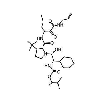 C=CCNC(=O)C(=O)C(CCC)NC(=O)[C@@H]1C(C(C)(C)C)CCN1[C@@H](O)[C@@H](NC(=O)OC(C)C(C)C)C1CCCCC1